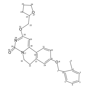 Cc1ccccc1COc1ccc2c(c1)CCn1c-2cc(OCC2CCCO2)nc1=O